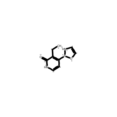 CCc1c(N2NC=CO2)cc[nH]c1=O